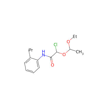 CCOC(C)OC(Cl)C(=O)Nc1ccccc1C(C)C